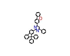 c1ccc(-c2cc(-c3ccc4c(c3)oc3ccccc34)nc(-c3ccc4c(c3)C(c3ccccc3)(c3ccccc3)c3ccccc3-4)n2)cc1